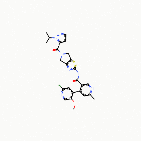 COc1cnc(Cl)cc1-c1cc(C)ncc1C(=O)Nc1nc2c(s1)CN(C(=O)c1ccnn1C(C)C)C2